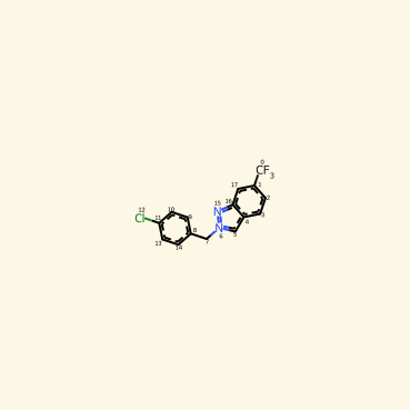 FC(F)(F)c1ccc2cn(Cc3ccc(Cl)cc3)nc2c1